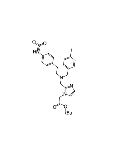 CC(C)(C)OC(=O)Cn1ccnc1CN(CCc1ccc(N[SH](=O)=O)cc1)Cc1ccc(I)cc1